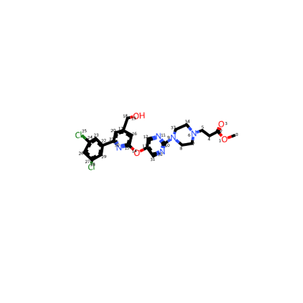 COC(=O)CCN1CCN(c2ncc(Oc3cc(CO)cc(-c4cc(Cl)cc(Cl)c4)n3)cn2)CC1